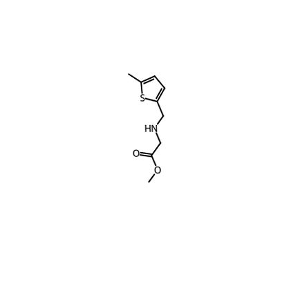 COC(=O)CNCc1ccc(C)s1